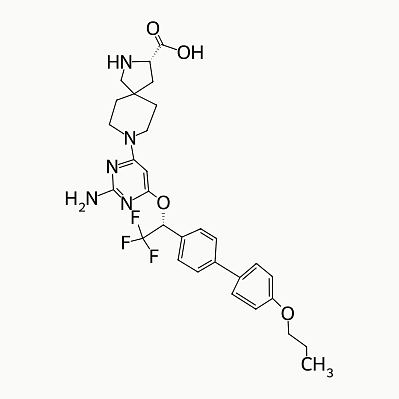 CCCOc1ccc(-c2ccc([C@@H](Oc3cc(N4CCC5(CC4)CN[C@H](C(=O)O)C5)nc(N)n3)C(F)(F)F)cc2)cc1